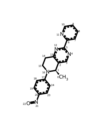 C[C@@H]1c2cnc(-c3ccccn3)nc2CCN1c1ccc(N=O)cc1